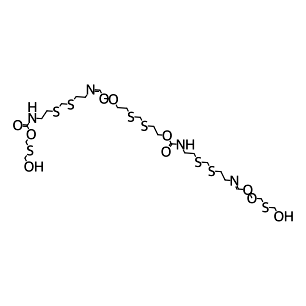 O=C(NCCSCSCC/N=C/OOCSCO)OCCSCSCCOO/C=N\CCSCSCCNC(=O)OCSCO